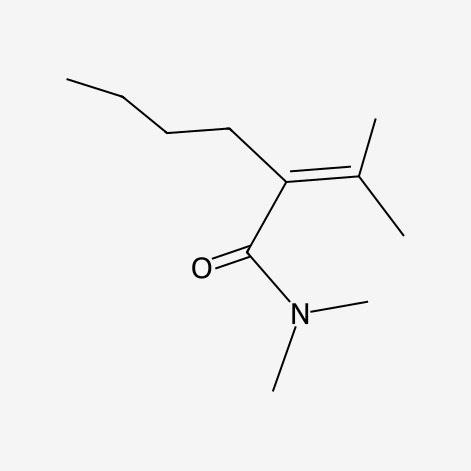 CCCCC(C(=O)N(C)C)=C(C)C